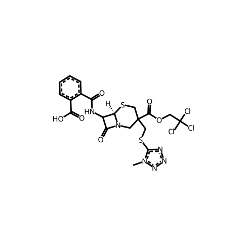 Cn1nnnc1SCC1(C(=O)OCC(Cl)(Cl)Cl)CS[C@@H]2C(NC(=O)c3ccccc3C(=O)O)C(=O)N2C1